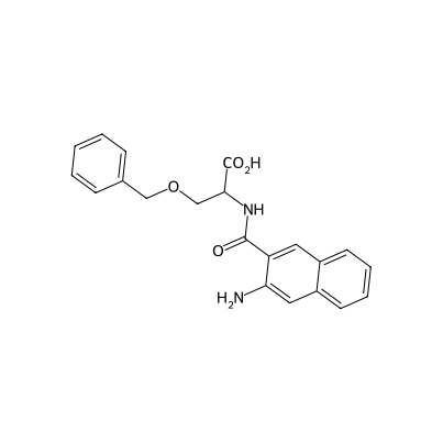 Nc1cc2ccccc2cc1C(=O)NC(COCc1ccccc1)C(=O)O